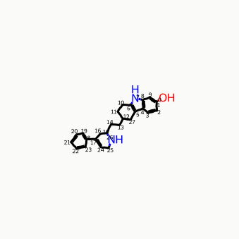 Oc1ccc2c3c([nH]c2c1)CCC(CCC1CC(c2ccccc2)=CCN1)C3